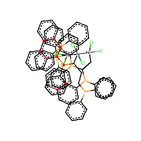 [Cl][Ni]([Cl])([CH2]C(P(c1ccccc1)c1ccccc1)P(c1ccccc1)c1ccccc1)[Ni]([Cl])([Cl])([CH](CCP(c1ccccc1)c1ccccc1)P(c1ccccc1)c1ccccc1)[Ni]([Cl])([Cl])([PH](c1ccccc1)(c1ccccc1)c1ccccc1)[PH](c1ccccc1)(c1ccccc1)c1ccccc1